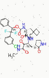 CCNC(=O)C(=O)[C@H](C[C@@H]1CCNC1=O)NC(=O)[C@@H](CC1(C)CCC1)NC(=O)O[C@H](c1ccccc1)C(F)(F)c1cccc(Cl)c1